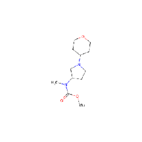 CN(C(=O)OC(C)(C)C)C1CCN(C2CCOCC2)C1